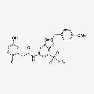 COc1ccc(Cn2cc3c(S(N)(=O)=O)cc(NC(=O)Cc4cc(O)ccc4Cl)cc3n2)cc1